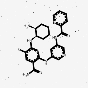 NC(=O)c1cc(F)c(N[C@@H]2CCCC[C@@H]2N)nc1Nc1cncc(NC(=O)c2ccccn2)c1